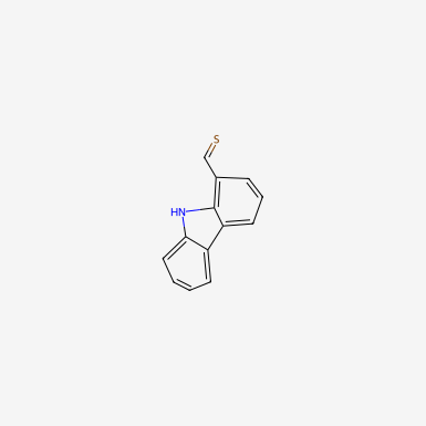 S=Cc1cccc2c1[nH]c1ccccc12